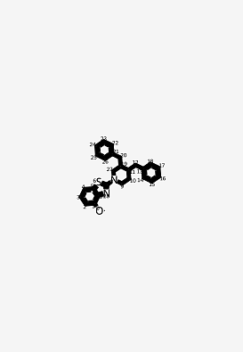 [O]c1cccc2sc(N3CCC(Cc4ccccc4)C(Cc4ccccc4)C3)nc12